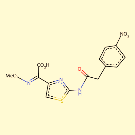 CON=C(C(=O)O)c1csc(NC(=O)Cc2ccc([N+](=O)[O-])cc2)n1